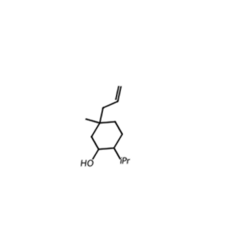 C=CCC1(C)CCC(C(C)C)C(O)C1